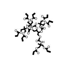 C=CC(=O)OCC(C)(COC(=O)C=C)NC(=O)OCC(OC(=O)NC(C)(COC(=O)C=C)COC(=O)C=C)C(COC(=O)NC(C)(COC(=O)C=C)COC(=O)C=C)OC(=O)NC(C)(COC(=O)C=C)COC(=O)C=C